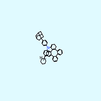 CC1C=C2C(=CC1)C1=C(CCC=C1N(c1ccc(C3CCCCC3)cc1)c1ccc(C34CC5CC6CC(C3)C64C5)cc1)c1ccccc1-c1ccccc12